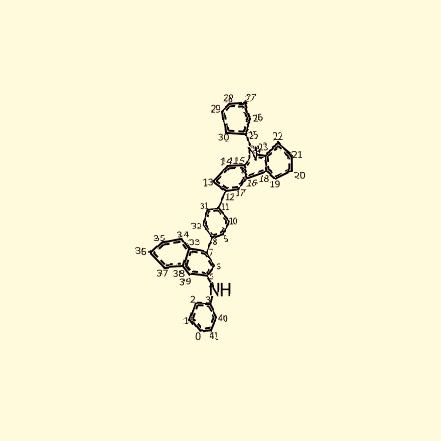 c1ccc(Nc2cc(-c3ccc(-c4ccc5c(c4)c4ccccc4n5-c4ccccc4)cc3)c3ccccc3c2)cc1